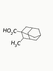 CC1C2CC3CC(C2)CC1(C(=O)O)C3